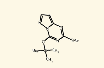 CSc1nc(O[Si](C)(C)C(C)(C)C)n2nccc2n1